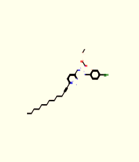 CCCCCCCCCCC#Cc1ccc(CN(Cc2ccc(C(F)(F)F)cc2)C(=O)C(=O)OCC)cn1